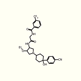 CCOC1CN(C2CCC(O)(c3ccc(C#N)cc3)CC2)CC1NC(=O)CNC(=O)c1cccc(C(F)(F)F)c1